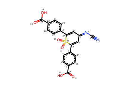 N#CN=C1C=C(c2ccc(C(=O)O)cc2)S(=O)(=O)C(c2ccc(C(=O)O)cc2)=C1